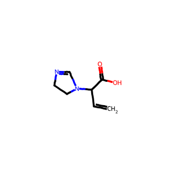 C=CC(C(=O)O)N1C=NCC1